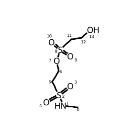 CNS(=O)(=O)CCOS(=O)(=O)CCO